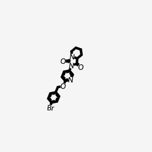 O=C1C2CCCCN2C(=O)N1c1ccc(OCc2ccc(Br)cc2)nc1